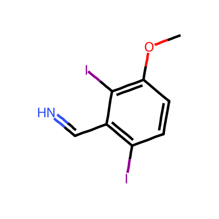 COc1ccc(I)c(C=N)c1I